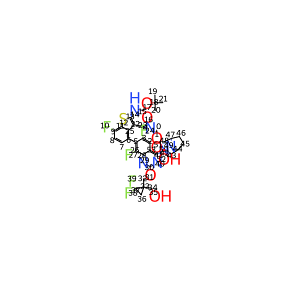 COc1c(F)c(-c2ccc(F)c3sc(NC(=O)OC(C)(C)C)c(C#N)c23)c(F)c2nc(OCC3(CO)CC3(F)F)nc(N3CC4CCC(C3)N4C(=O)O)c12